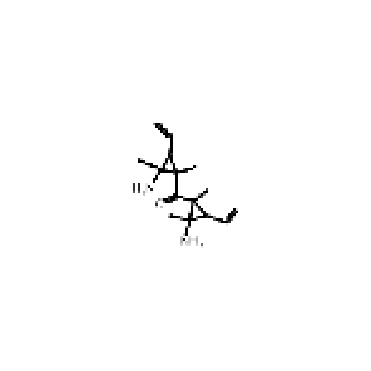 C=CC1C(C)(N)C1(C)C(=O)C1(C)C(C=C)C1(C)N